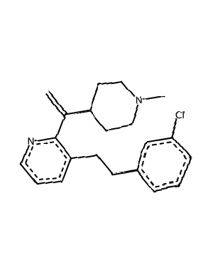 C=C(c1ncccc1CCc1cccc(Cl)c1)C1CCN(C)CC1